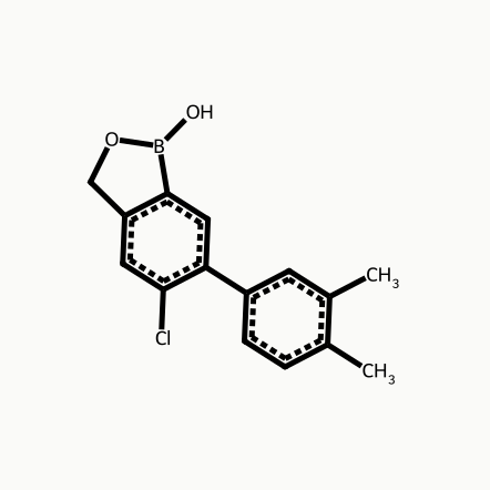 Cc1ccc(-c2cc3c(cc2Cl)COB3O)cc1C